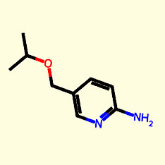 CC(C)OCc1ccc(N)nc1